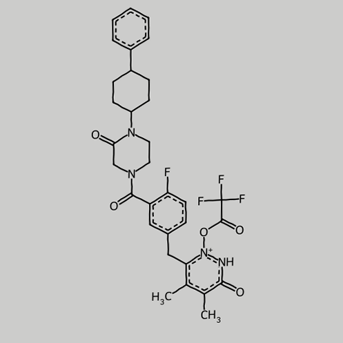 Cc1c(C)c(=O)[nH][n+](OC(=O)C(F)(F)F)c1Cc1ccc(F)c(C(=O)N2CCN(C3CCC(c4ccccc4)CC3)C(=O)C2)c1